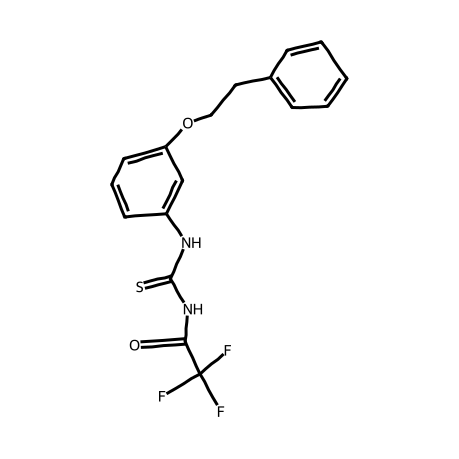 O=C(NC(=S)Nc1cccc(OCCc2ccccc2)c1)C(F)(F)F